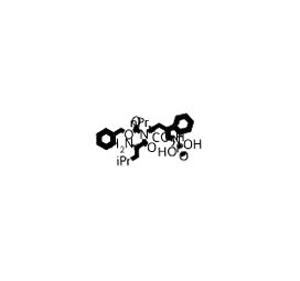 CCC[C@](Cc1cn(P(=O)(O)O)c2ccccc12)(C(=O)O)N(C(=O)OCc1ccccc1)C(=O)[C@@H](N)CC(C)C